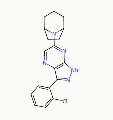 Clc1ccccc1-c1n[nH]c2nc(N3C4CCCC3CC4)cnc12